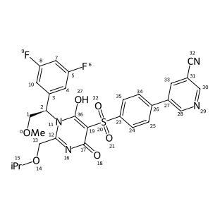 COC[C@@H](c1cc(F)cc(F)c1)n1c(COC(C)C)nc(=O)c(S(=O)(=O)c2ccc(-c3cncc(C#N)c3)cc2)c1O